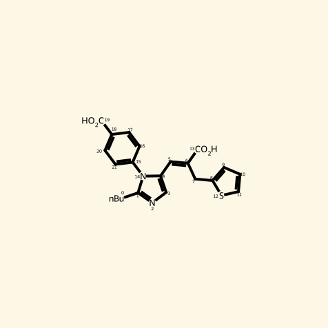 CCCCc1ncc(/C=C(\Cc2cccs2)C(=O)O)n1-c1ccc(C(=O)O)cc1